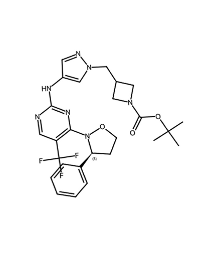 CC(C)(C)OC(=O)N1CC(Cn2cc(Nc3ncc(C(F)(F)F)c(N4OCC[C@H]4c4ccccc4)n3)cn2)C1